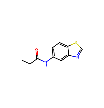 CCC(=O)Nc1ccc2scnc2c1